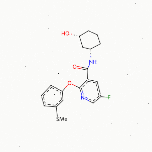 CSc1cccc(Oc2ncc(F)cc2C(=O)N[C@H]2CCC[C@@H](O)C2)c1